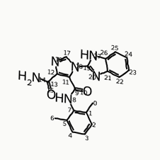 Cc1cccc(C)c1NC(=O)c1c(C(N)=O)ncn1-c1nc2ccccc2[nH]1